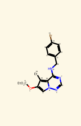 CCOC(=O)Oc1cn2ncnc(NCc3ccc(Br)cc3)c2c1CC